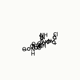 COC[C@H]1CC[C@@H](CNc2ccc(S(=O)(=O)NC(=O)c3ccc(N4CCN(CC5=C(c6ccc(Cl)cc6)CC(C)(C)CC5)CC4)cc3Oc3cnc4[nH]ccc4c3)cc2[N+](=O)[O-])CC1